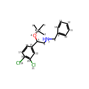 C[Si](C)(C)OC(CNCc1ccccc1)c1ccc(Cl)c(Cl)c1